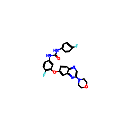 O=C(Nc1ccc(F)cc1)Nc1ccc(F)c(Oc2ccc3ncc(N4CCOCC4)nc3c2)c1